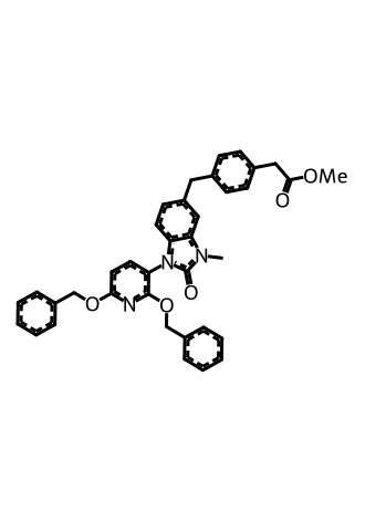 COC(=O)Cc1ccc(Cc2ccc3c(c2)n(C)c(=O)n3-c2ccc(OCc3ccccc3)nc2OCc2ccccc2)cc1